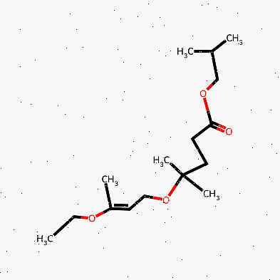 CCO/C(C)=C/COC(C)(C)CCC(=O)OCC(C)C